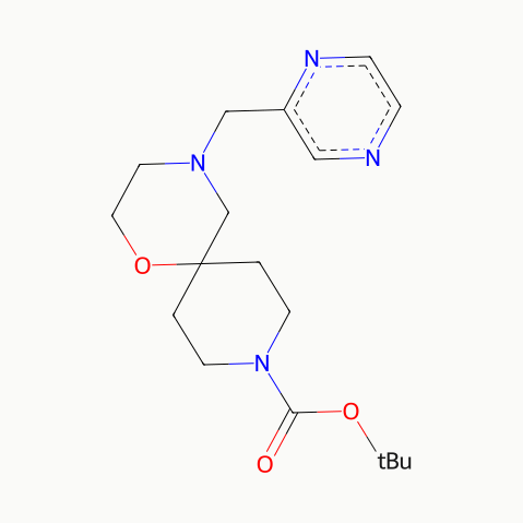 CC(C)(C)OC(=O)N1CCC2(CC1)CN(Cc1cnccn1)CCO2